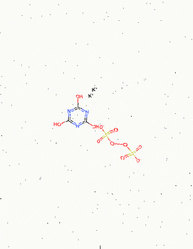 O=S(=O)([O-])OOS(=O)(=O)[O-].Oc1nc(O)nc(O)n1.[K+].[K+]